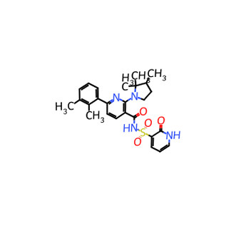 Cc1cccc(-c2ccc(C(=O)NS(=O)(=O)c3ccc[nH]c3=O)c(N3CCC(C)C3(C)C)n2)c1C